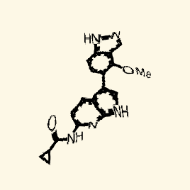 COc1c(-c2c[nH]c3nc(NC(=O)C4CC4)ccc23)ccc2[nH]ncc12